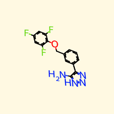 Nc1[nH]nnc1-c1cccc(COc2c(F)cc(F)cc2F)c1